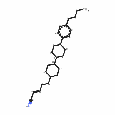 CCCCc1ccc(C2CCC(C3CCC(CCC=CC#N)CC3)CC2)cc1